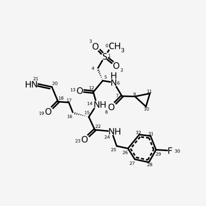 CS(=O)(=O)C[C@H](NC(=O)C1CC1)C(=O)N[C@@H](CCC(=O)C=N)C(=O)NCc1ccc(F)cc1